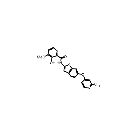 COc1ccnc(C(=O)Nc2nc3ccc(Oc4ccnc(C(F)(F)F)c4)cc3s2)c1O